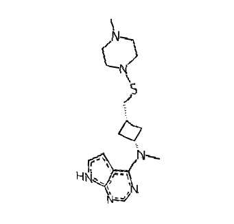 CN1CCN(SC[C@H]2C[C@@H](N(C)c3ncnc4[nH]ccc34)C2)CC1